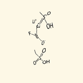 CS(=O)(=O)O.CS(=O)(=O)O.[Li+].[O-]B(F)F